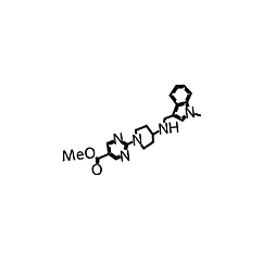 COC(=O)c1cnc(N2CCC(NCc3cn(C)c4ccccc34)CC2)nc1